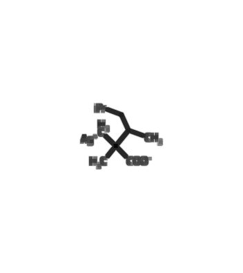 CC(C)CC(C)C(C)(C)C(=O)[O-].[Ag+]